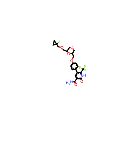 NC(=O)c1cc(-c2ccc(OCC3COCC(COCC4(F)CC4)O3)cc2)c(C(F)(F)F)[nH]c1=O